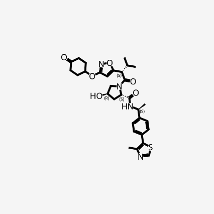 Cc1ncsc1-c1ccc([C@H](C)NC(=O)[C@@H]2C[C@@H](O)CN2C(=O)[C@H](c2cc(OC3CCC(=O)CC3)no2)C(C)C)cc1